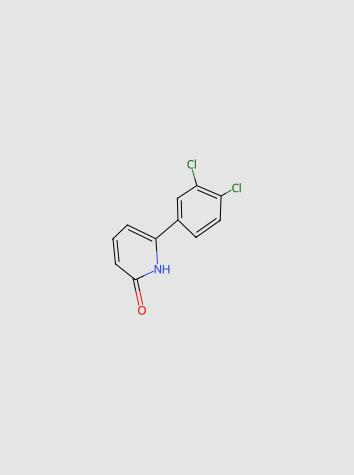 O=c1cccc(-c2ccc(Cl)c(Cl)c2)[nH]1